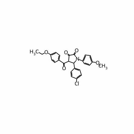 CCOc1ccc(C(=O)C2C(=O)C(=O)N(c3ccc(OC)cc3)C2c2ccc(Cl)cc2)cc1